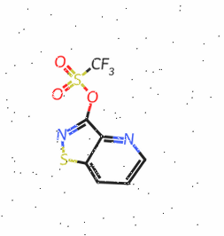 O=S(=O)(Oc1nsc2cccnc12)C(F)(F)F